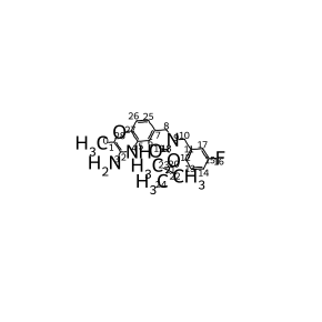 CC1=C(N)Nc2cc(CN(Cc3cccc(F)c3)C(=O)OC(C)(C)C)ccc2O1